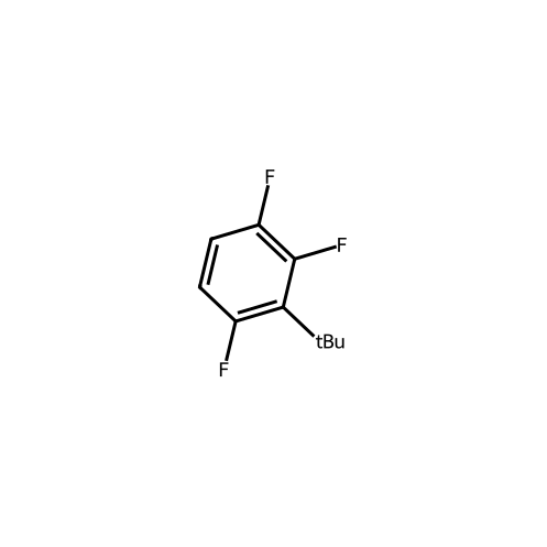 CC(C)(C)c1c(F)ccc(F)c1F